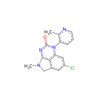 Cc1ncccc1-n1c(=O)nc2c3c(cc(Cl)cc31)CN2C